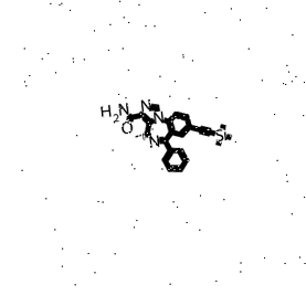 C[C@H]1N=C(c2ccccc2)c2cc(C#C[Si](C)(C)C)ccc2-n2cnc(C(N)=O)c21